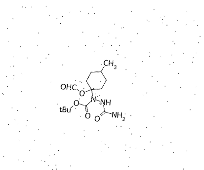 CC1CCC(OC=O)(N(NC(N)=O)C(=O)OC(C)(C)C)CC1